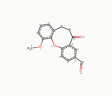 COc1cccc2c1Oc1ccc(C=O)cc1C(=O)CC2